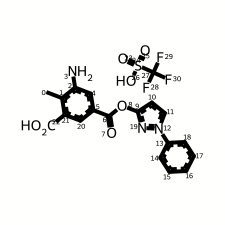 Cc1c(N)cc(C(=O)Oc2ccn(-c3ccccc3)n2)cc1C(=O)O.O=S(=O)(O)C(F)(F)F